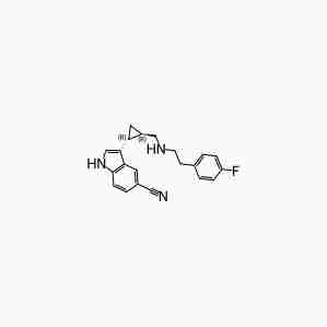 N#Cc1ccc2[nH]cc([C@@H]3C[C@H]3CNCCc3ccc(F)cc3)c2c1